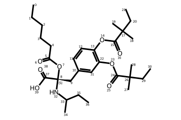 CCCCCC(=O)O[C@](Cc1ccc(OC(=O)C(C)(C)CC)c(OC(=O)C(C)(C)CC)c1)(NC(C)CC)C(=O)O